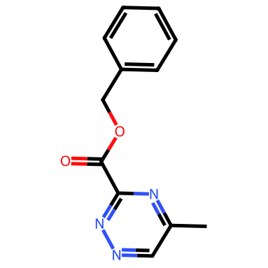 Cc1cnnc(C(=O)OCc2ccccc2)n1